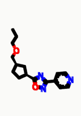 CCCOC[C@@H]1CC[C@H](c2nc(-c3ccncc3)no2)C1